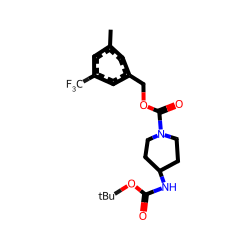 Cc1cc(COC(=O)N2CCC(NC(=O)OC(C)(C)C)CC2)cc(C(F)(F)F)c1